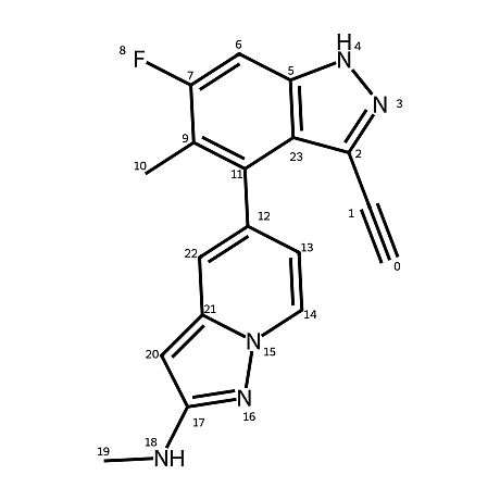 C#Cc1n[nH]c2cc(F)c(C)c(-c3ccn4nc(NC)cc4c3)c12